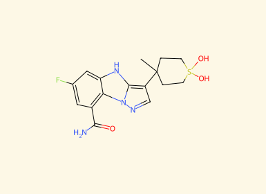 CC1(c2cnn3c2[nH]c2cc(F)cc(C(N)=O)c23)CCS(O)(O)CC1